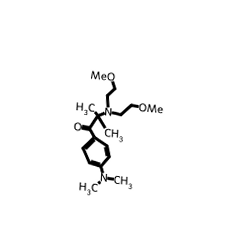 COCCN(CCOC)C(C)(C)C(=O)c1ccc(N(C)C)cc1